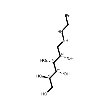 CC(C)CNNC[C@H](O)[C@@H](O)[C@H](O)[C@H](O)CO